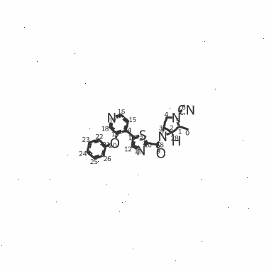 CC1[C@H]2C(CN1C#N)N2C(=O)c1ncc(-c2ccncc2Oc2ccccc2)s1